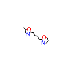 CC1CN=C(CCCCC2=NCCCO2)O1